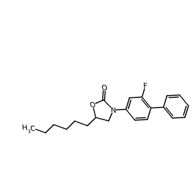 CCCCCCC1CN(c2ccc(-c3ccccc3)c(F)c2)C(=O)O1